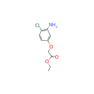 CCOC(=O)COc1ccc(Cl)c(N)c1